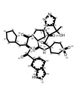 CC(C)(O)c1cnnn1[C@H]1C[C@@H](C(=O)NC2(C(=O)C(N)=O)CCS(=O)(=O)CC2)N(C(=O)/C(CC2CCCCC2)=N/C(=O)c2ccc3cn[nH]c3c2)C1